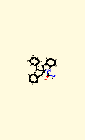 NC(=O)NC(Cc1ccccc1)(Cc1ccccc1)Cc1ccccc1